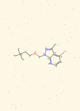 Cc1nn(COCC[Si](C)(C)C)c2nccc(I)c12